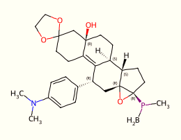 BP(C)[C@]12CC[C@H]3[C@@H]4CC[C@@]5(O)CC6(CCC5=C4[C@@H](c4ccc(N(C)C)cc4)C[C@@]31O2)OCCO6